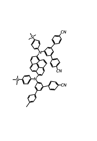 Cc1ccc(-c2cc(-c3ccc(C#N)cc3)cc(N(c3ccc([Si](C)(C)C)cc3)c3ccc4ccc5c(N(c6ccc([Si](C)(C)C)cc6)c6cc(-c7ccc(C#N)cc7)cc(-c7ccc(C#N)cc7)c6)ccc6ccc3c4c65)c2)cc1